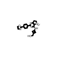 [O-][S@+]1CCc2nc(-c3ccc(-c4ncco4)cc3)nc(NC34CC(CO)(C3)C4)c21